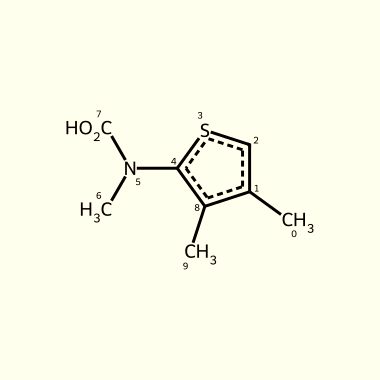 Cc1csc(N(C)C(=O)O)c1C